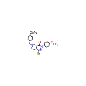 COc1ccc(CN2CCc3c(Br)nn(-c4ccc(OC(F)(F)F)cc4)c(=O)c3C2)cc1